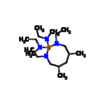 CCN(C)S1(N(C)CC)N(CC)CC(C)CC(C)CN1CC